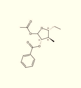 CC[C@H]1OC(OC(C)=O)[C@@H](OC(=O)c2ccccc2)[C@@H]1C